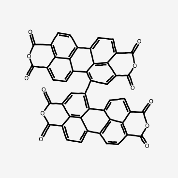 O=C1OC(=O)c2ccc3c4c(-c5cc6c7c(ccc8c9ccc%10c%11c(ccc(c5c78)c%119)C(=O)OC%10=O)C(=O)OC6=O)cc5c6c(ccc(c7ccc1c2c73)c64)C(=O)OC5=O